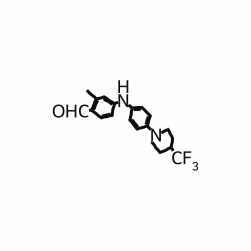 Cc1cc(Nc2ccc(N3CCC(C(F)(F)F)CC3)cc2)ccc1C=O